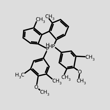 COc1c(C)cc(Pc2cccc(C)c2-c2c(C)cccc2Pc2cc(C)c(OC)c(C)c2)cc1C